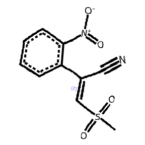 CS(=O)(=O)/C=C(\C#N)c1ccccc1[N+](=O)[O-]